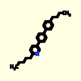 CCCCCc1ccc(-c2ccc(-c3ccc(CCCC)cc3)cc2)cn1